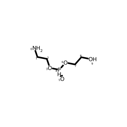 NCCO[PH](=O)OCCO